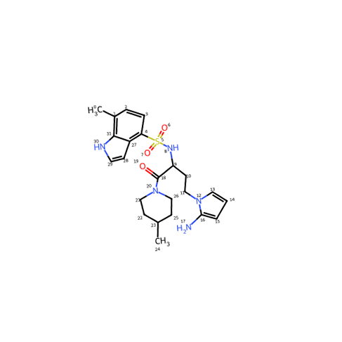 Cc1ccc(S(=O)(=O)NC(CCn2cccc2N)C(=O)N2CCC(C)CC2)c2cc[nH]c12